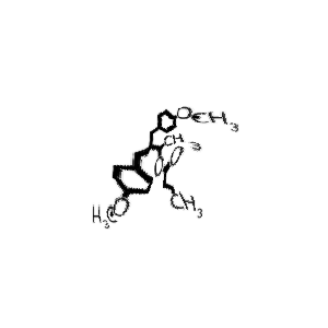 CCCC(=O)OC(C)C(Cc1ccc(OC)cc1)Cc1ccc(OC)cc1